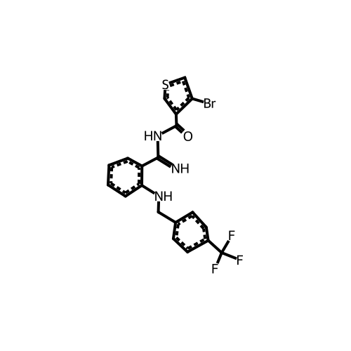 N=C(NC(=O)c1cscc1Br)c1ccccc1NCc1ccc(C(F)(F)F)cc1